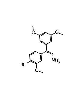 COc1cc(OC)cc(C(=CN)c2ccc(O)c(OC)c2)c1